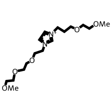 COCCOCCC[n+]1ccn(CCOCCOCCOC)c1